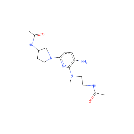 CC(=O)NCCN(C)c1nc(N2CCC(NC(C)=O)C2)ccc1N